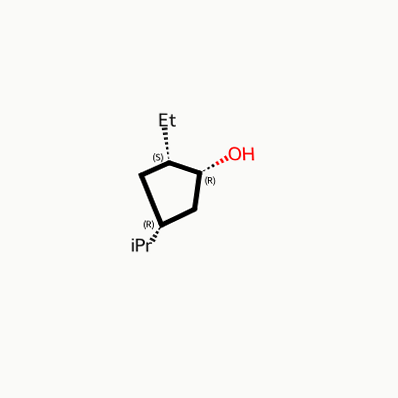 CC[C@H]1C[C@@H](C(C)C)C[C@H]1O